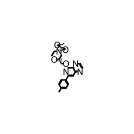 Cc1ccc(-c2cc3nccnc3c(OC[C@@H]3CN(S(C)(=O)=O)CCO3)n2)cc1